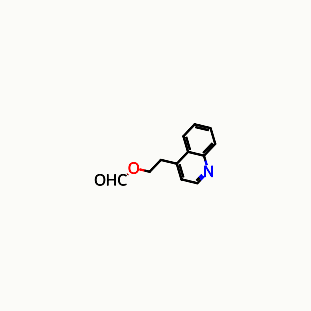 O=COCCc1ccnc2ccccc12